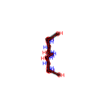 CC(C)C(=O)[C@H](CCCCNC(=O)CC[C@H](NC(=O)COCCOCCNC(=O)COCCOCCNC(=O)CC[C@H](NC(=O)CCCCCCCCCCCCCCCCC(=O)O)C(=O)O)C(=O)O)NC(=O)CC[C@H](NC(=O)COCCOCCNC(=O)COCCOCCNC(=O)CC[C@H](NC(=O)CCCCCCCCCCCCCCCCC(=O)O)C(=O)O)C(=O)O